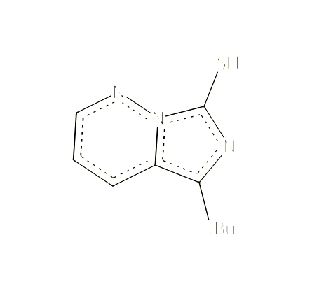 CC(C)(C)c1nc(S)n2ncccc12